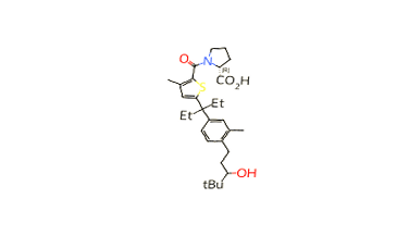 CCC(CC)(c1ccc(CCC(O)C(C)(C)C)c(C)c1)c1cc(C)c(C(=O)N2CCC[C@@H]2C(=O)O)s1